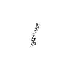 CCOC(=O)c1ccc(OCCCCCCN=[N+]=[N-])cc1